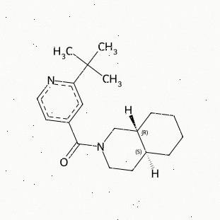 CC(C)(C)c1cc(C(=O)N2CC[C@@H]3CCCC[C@H]3C2)ccn1